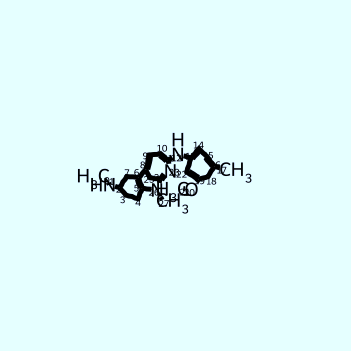 CNC1CCC2=C(C1)C1=CC=C(NC3=CC=C(C)CC(OC)=C3)N=C(C1)N2C